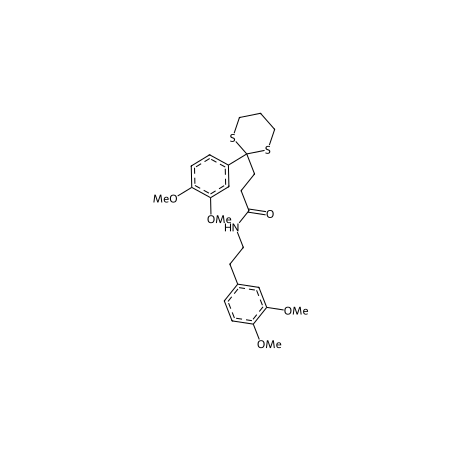 COc1ccc(CCNC(=O)CCC2(c3ccc(OC)c(OC)c3)SCCCS2)cc1OC